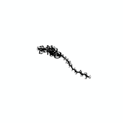 CCCCCCCCCCCC=CCCCCC(=O)Oc1c2ncnc(SCC(=O)OCC)c2nn1C